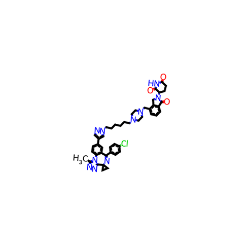 Cc1nnc2n1-c1ccc(-c3cnn(CCCCCCN4CCN(Cc5cccc6c5CN(C5CCC(=O)NC5=O)C6=O)CC4)c3)cc1C(c1ccc(Cl)cc1)=NC21CC1